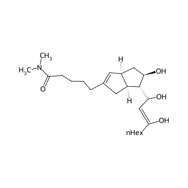 CCCCCCC(O)=CC(O)[C@@H]1[C@H]2CC(CCCCC(=O)N(C)C)=C[C@H]2C[C@H]1O